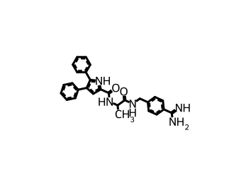 CC(NC(=O)c1cc(-c2ccccc2)c(-c2ccccc2)[nH]1)C(=O)NCc1ccc(C(=N)N)cc1